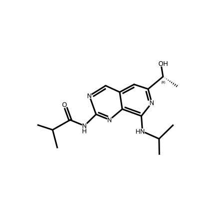 CC(C)Nc1nc([C@@H](C)O)cc2cnc(NC(=O)C(C)C)nc12